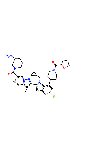 Cc1c(-c2cc3cc(F)cc(C4CCN(C(=O)C5CCCO5)CC4)c3n2CC2CC2)nn2cc(C(=O)N3CCCC(N)C3)ccc12